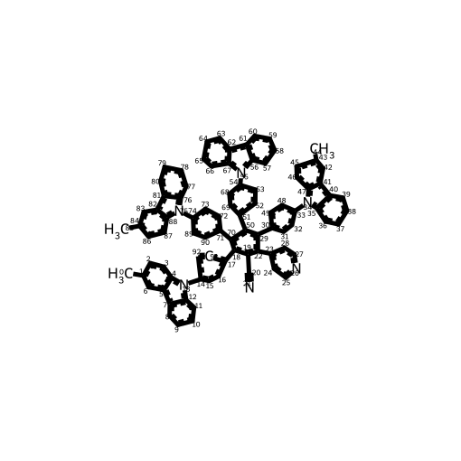 Cc1ccc2c(c1)c1ccccc1n2-c1ccc(-c2c(C#N)c(-c3ccncc3)c(-c3ccc(-n4c5ccccc5c5cc(C)ccc54)cc3)c(-c3ccc(-n4c5ccccc5c5ccccc54)cc3)c2-c2ccc(-n3c4ccccc4c4cc(C)ccc43)cc2)cc1